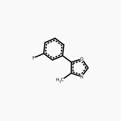 Cc1ncoc1-c1cccc(F)c1